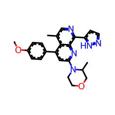 COc1ccc(-c2cc(N3CCOCC3C)nc3c(-c4ccn[nH]4)ncc(C)c23)cc1